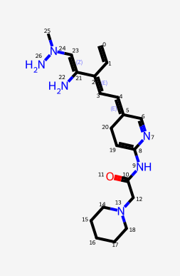 C=CC(=C\C=C1\C=NC(NC(=O)CN2CCCCC2)=CC1)/C(N)=C/N(C)N